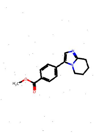 COC(=O)c1ccc(-c2cnc3n2CCCC3)cc1